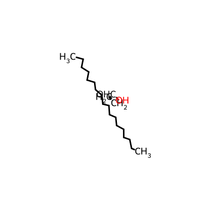 C=C.CCCCCCCCCCCCCCCCCC.O=CO